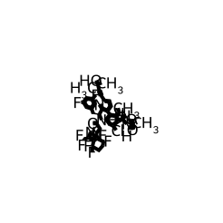 Cn1nc(NS(C)(=O)=O)c2c(Cl)ccc(-c3ccc(C#CC(C)(C)O)nc3[C@H](Cc3cc(F)cc(F)c3)NC(=O)Cn3nc(C(F)F)c4c3C(F)(F)CCC4(F)F)c21